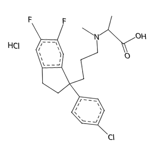 CC(C(=O)O)N(C)CCCC1(c2ccc(Cl)cc2)CCc2cc(F)c(F)cc21.Cl